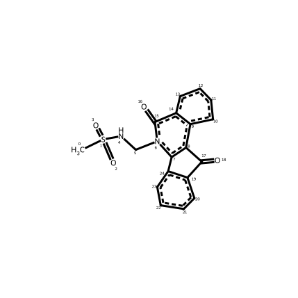 CS(=O)(=O)NCn1c2c(c3ccccc3c1=O)C(=O)c1ccccc1-2